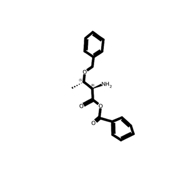 C[C@H](OCc1ccccc1)[C@@H](N)C(=O)OC(=O)c1ccccc1